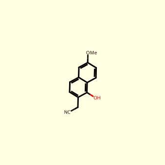 COc1ccc2c(O)c(CC#N)ccc2c1